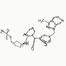 Cc1nn(Cc2csc(C(=O)c3cncnc3N[C@H]3CC[C@@H](COS(N)(=O)=O)C3)c2)c2cnccc12